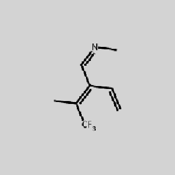 C=CC(/C=N\C)=C(/C)C(F)(F)F